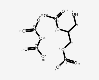 O=[N+]([O-])OCC(CO)O[N+](=O)[O-].O=[N+]([O-])O[N+](=O)[O-]